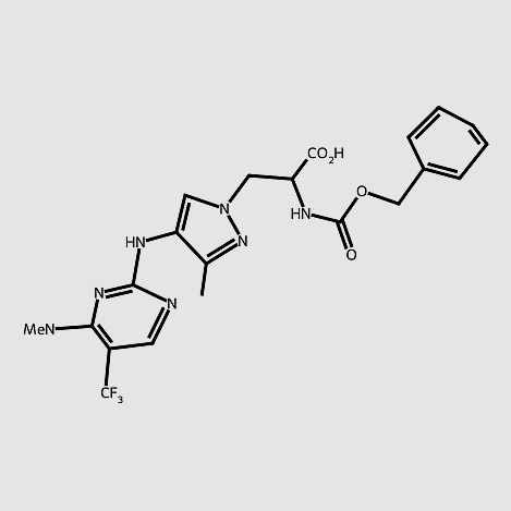 CNc1nc(Nc2cn(CC(NC(=O)OCc3ccccc3)C(=O)O)nc2C)ncc1C(F)(F)F